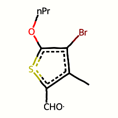 CCCOc1sc([C]=O)c(C)c1Br